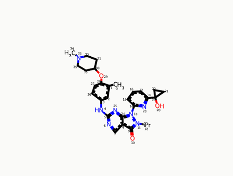 Cc1cc(Nc2ncc3c(=O)n(C(C)C)n(-c4cccc(C5(O)CC5)n4)c3n2)ccc1OC1CCN(C)CC1